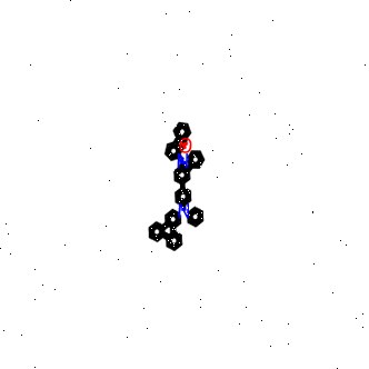 c1ccc(N(c2ccc(-c3ccc4c(c3)c3ccccc3n4-c3cccc4c3oc3ccccc34)cc2)c2ccc3c4ccccc4c4ccccc4c3c2)cc1